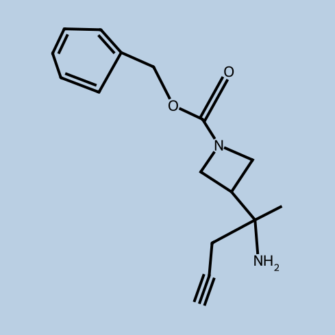 C#CCC(C)(N)C1CN(C(=O)OCc2ccccc2)C1